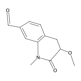 COC1Cc2ccc(C=O)cc2N(C)C1=O